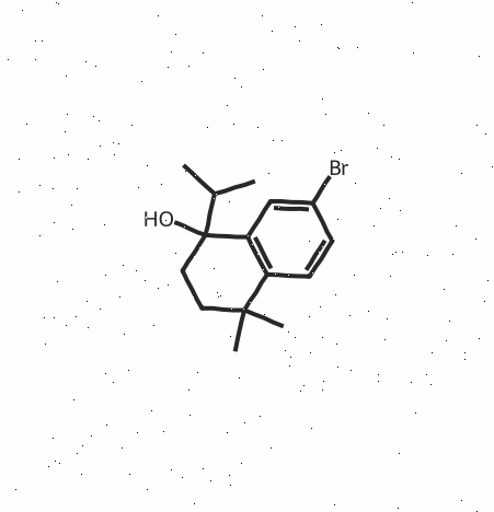 CC(C)C1(O)CCC(C)(C)c2ccc(Br)cc21